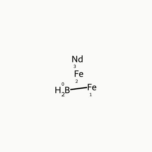 [BH2][Fe].[Fe].[Nd]